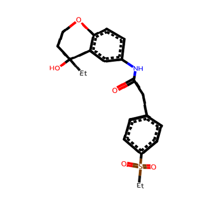 CCC1(O)CCOc2ccc(NC(=O)Cc3ccc(S(=O)(=O)CC)cc3)cc21